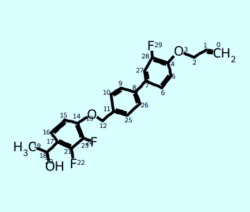 C=CCOc1ccc(-c2ccc(COc3ccc(C(C)O)c(F)c3F)cc2)cc1F